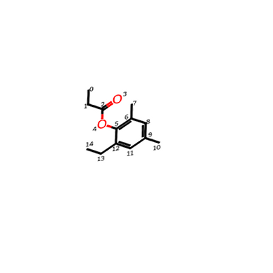 CCC(=O)Oc1c(C)cc(C)cc1CC